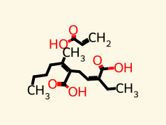 C=CC(=O)O.CCCCC(C)=C(CC=C(CC)C(=O)O)C(=O)O